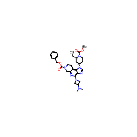 CN(C)C1CN(c2nc3c(c4c2ncn4[C@H]2CCN(C(=O)OC(C)(C)C)[C@H](CC#N)C2)CCN(C(=O)OCc2ccccc2)C3)C1